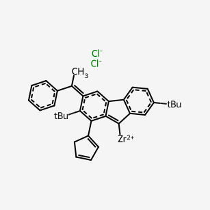 CC(c1ccccc1)=c1cc2c(c(C3=CC=CC3)c1C(C)(C)C)=[C]([Zr+2])c1cc(C(C)(C)C)ccc1-2.[Cl-].[Cl-]